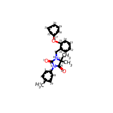 Cc1ccc(N2C(=O)N(Cc3ccccc3Oc3ccccc3)C(C)(C)C2=O)cc1